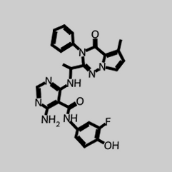 Cc1ccn2nc(C(C)Nc3ncnc(N)c3C(=O)Nc3ccc(O)c(F)c3)n(-c3ccccc3)c(=O)c12